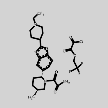 CCN1CCC(c2nc3cc([C@H]4CC[C@H](C)CN4C(=O)C(N)=O)ccc3s2)CC1.O=C(Cl)C(=O)OCC(F)(F)F